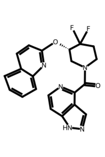 O=C(c1nccc2[nH]ncc12)N1CCC(F)(F)[C@@H](Oc2ccc3ccccc3n2)C1